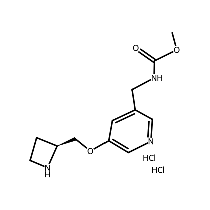 COC(=O)NCc1cncc(OC[C@@H]2CCN2)c1.Cl.Cl